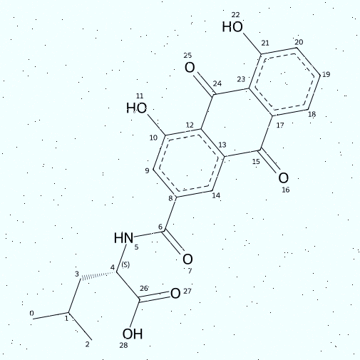 CC(C)C[C@H](NC(=O)c1cc(O)c2c(c1)C(=O)c1cccc(O)c1C2=O)C(=O)O